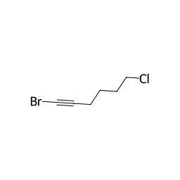 ClCCCCC#CBr